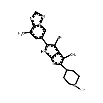 CCCN1CCC(c2sc3[nH]c(-c4cc(C)c5ncnn5c4)c(C(C)C)c3c2C)CC1